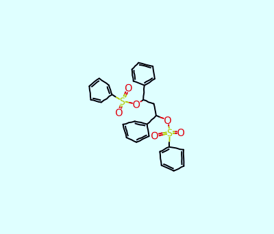 O=S(=O)(OC(CC(OS(=O)(=O)c1ccccc1)c1ccccc1)c1ccccc1)c1ccccc1